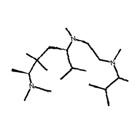 CC(C)C(C)N(C)CCN(C)[C@H](CC(C)(C)[C@H](C)N(C)C)C(C)C